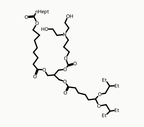 CCCCCCCC(=O)OCCCCCCCC(=O)OCC(COC(=O)CCCCC(OCC(CC)CC)OCC(CC)CC)COC(=O)OCCCN(CCO)CCO